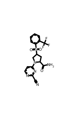 N#Cc1nccc(N2CC(S(=O)(=O)c3ccccc3C(F)(F)F)CC2C(N)=O)n1